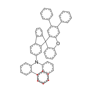 c1ccc(-c2cc3c(cc2-c2ccccc2)C2(c4ccccc4O3)c3ccccc3-c3ccc(N(c4ccccc4-c4ccccc4)c4cccc5ccccc45)cc32)cc1